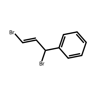 BrC=CC(Br)c1ccccc1